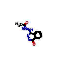 CC(=O)NNC1N=NC(=O)c2ccccc21